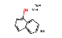 Oc1cccc2ccccc12.[NaH].[NaH].[NaH]